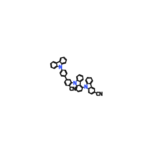 N#Cc1ccc2c(c1)c1ccccc1n2-c1cccc2c1c1ccccc1n2-c1cc(-c2ccc(-n3c4ccccc4c4ccccc43)cc2)ccc1C#N